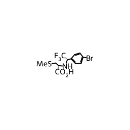 CSC[C@H](N[C@@H](c1ccc(Br)cc1)C(F)(F)F)C(=O)O